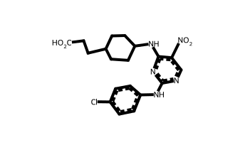 O=C(O)CCC1CCC(Nc2nc(Nc3ccc(Cl)cc3)ncc2[N+](=O)[O-])CC1